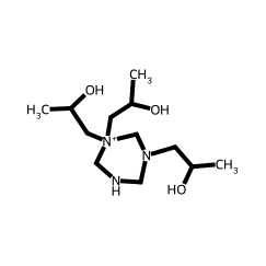 CC(O)CN1CNC[N+](CC(C)O)(CC(C)O)C1